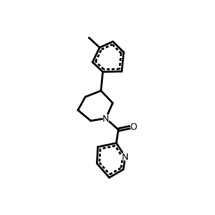 Cc1cccc(C2CCCN(C(=O)c3ccccn3)C2)c1